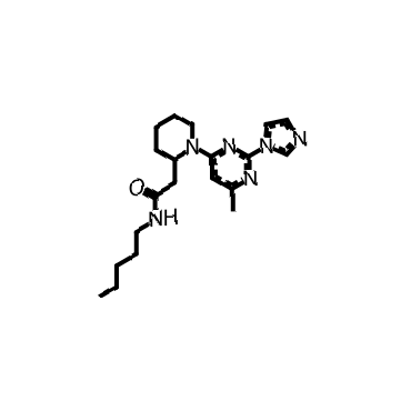 CCCCCNC(=O)CC1CCCCN1c1cc(C)nc(-n2ccnc2)n1